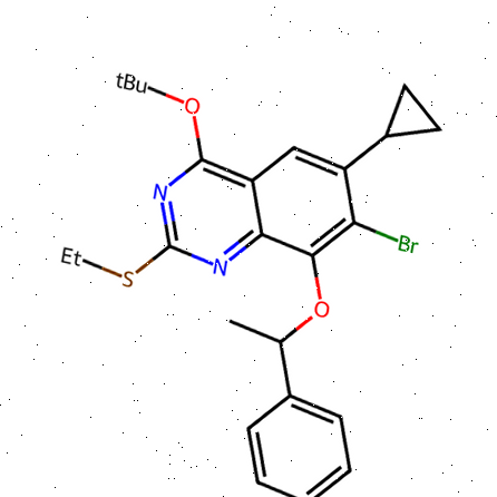 CCSc1nc(OC(C)(C)C)c2cc(C3CC3)c(Br)c(OC(C)c3ccccc3)c2n1